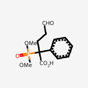 COP(=O)(OC)C(CCC=O)(C(=O)O)c1ccccc1